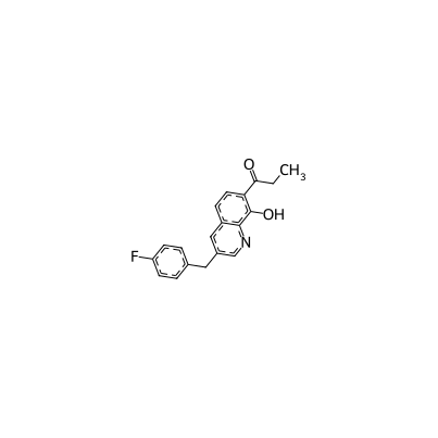 CCC(=O)c1ccc2cc(Cc3ccc(F)cc3)cnc2c1O